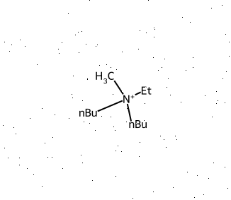 CCCC[N+](C)(CC)CCCC